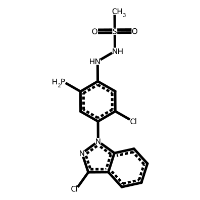 CS(=O)(=O)NNc1cc(Cl)c(-n2nc(Cl)c3ccccc32)cc1P